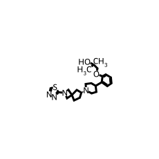 CC(C)(O)COc1ccccc1C1CCN([C@@H]2CCC3(C2)CN(c2nncs2)C3)CC1